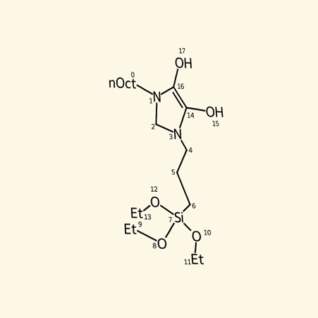 CCCCCCCCN1CN(CCC[Si](OCC)(OCC)OCC)C(O)=C1O